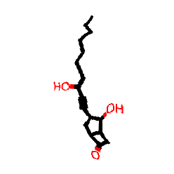 CCCCCCCC(O)C#CC1CC2C(=O)CC2C1O